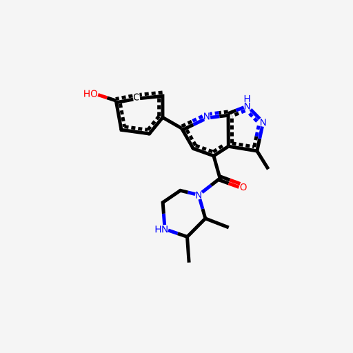 Cc1n[nH]c2nc(-c3ccc(O)cc3)cc(C(=O)N3CCNC(C)C3C)c12